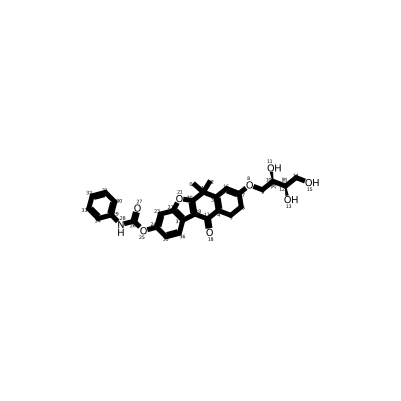 CC1(C)C2=C(CCC(OC[C@@H](O)[C@H](O)CO)=C2)C(=O)c2c1oc1cc(OC(=O)Nc3ccccc3)ccc21